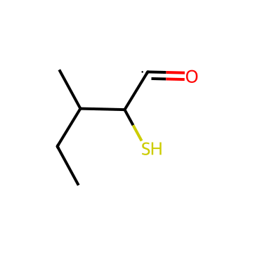 CCC(C)C(S)[C]=O